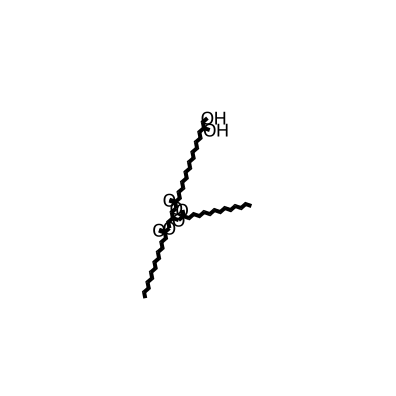 CCCCCCCCCCCCCC(=O)OCC(COC(=O)CCCCCCCCCCCCCCC(O)CO)OC(=O)CCCCCCCCCCCCC